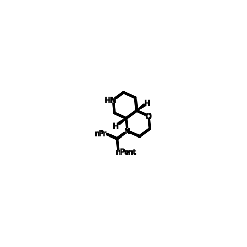 CCCCCC(CCC)N1CCO[C@H]2CCNC[C@H]21